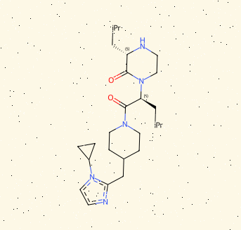 CC(C)C[C@@H]1NCCN([C@@H](CC(C)C)C(=O)N2CCC(Cc3nccn3C3CC3)CC2)C1=O